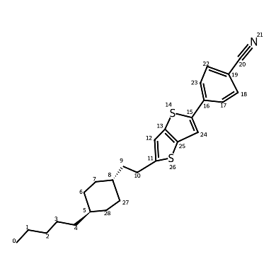 CCCCC[C@H]1CC[C@H](CCc2cc3sc(-c4ccc(C#N)cc4)cc3s2)CC1